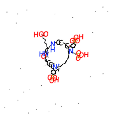 CC1(C)C2=[N+](CCCCCC(=O)NCC(CCCCCC(=O)O)CNCCCCCCC3(C)/C(=C/C=C/C=C/C=C/2)N(CCCS(=O)(=O)O)c2ccc(S(=O)(=O)O)cc23)c2ccc(S(=O)(=O)O)cc21